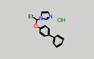 CCC(Oc1ccc(-c2ccccc2)cc1)n1ccnc1.Cl